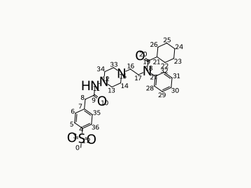 CS(=O)(=O)c1ccc(CC(=O)NN2CCN(CCN(C(=O)C3CCCCC3)c3ccccc3)CC2)cc1